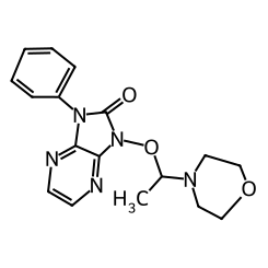 CC(On1c(=O)n(-c2ccccc2)c2nccnc21)N1CCOCC1